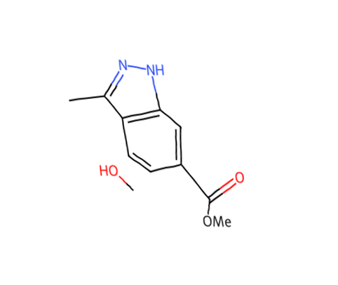 CO.COC(=O)c1ccc2c(C)n[nH]c2c1